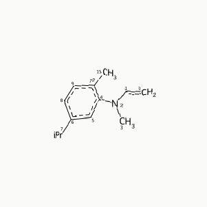 C=CN(C)c1cc(C(C)C)ccc1C